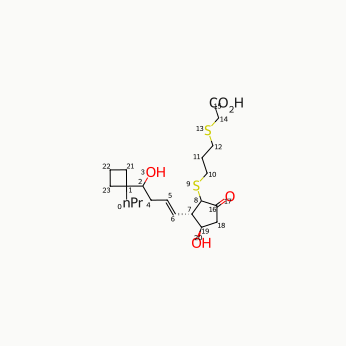 CCCC1(C(O)CC=C[C@@H]2C(SCCCSCC(=O)O)C(=O)C[C@H]2O)CCC1